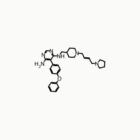 Nc1ncnc(NCC2CCN(C/C=C/CN3CCCC3)CC2)c1-c1ccc(Oc2ccccc2)cc1